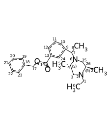 CCN1C[C@H](C)N(C(C)c2cccc(C(=O)OCc3ccccc3)c2)C[C@H]1C